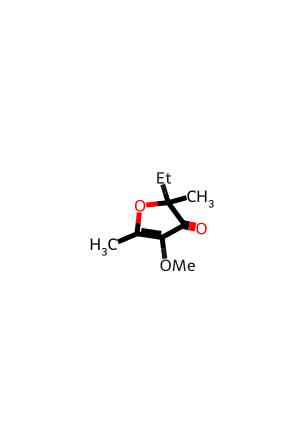 CCC1(C)OC(C)=C(OC)C1=O